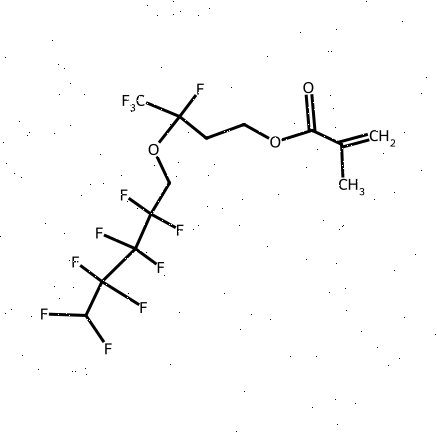 C=C(C)C(=O)OCCC(F)(OCC(F)(F)C(F)(F)C(F)(F)C(F)F)C(F)(F)F